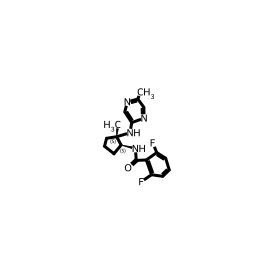 Cc1cnc(N[C@@]2(C)CCC[C@@H]2NC(=O)c2c(F)cccc2F)cn1